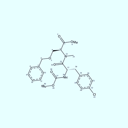 COC(=O)[C@H](COCc1ccccc1)N(C)C(=O)[C@H](Cc1ccc(Cl)cc1)NC(=O)OC(C)(C)C